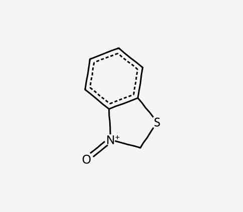 O=[N+]1CSc2ccccc21